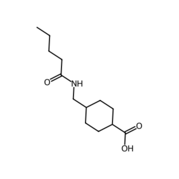 CCCCC(=O)NCC1CCC(C(=O)O)CC1